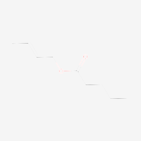 [CH2]CCCC(=O)OCC=CC